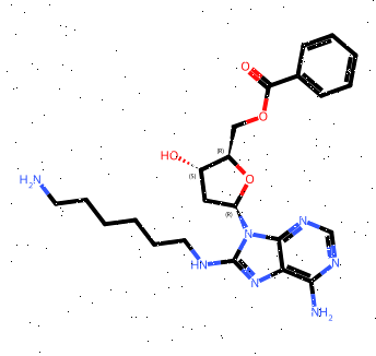 NCCCCCCNc1nc2c(N)ncnc2n1[C@H]1C[C@H](O)[C@@H](COC(=O)c2ccccc2)O1